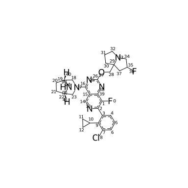 Fc1c(-c2cccc(Cl)c2C2CC2)ncc2c(N3C[C@H]4CC[C@@H](C3)N4)nc(OCC34CCCN3CC(F)C4)nc12